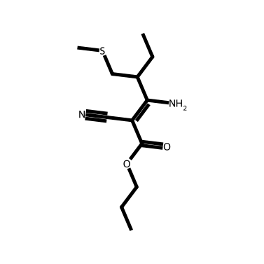 CCCOC(=O)/C(C#N)=C(\N)C(CC)CSC